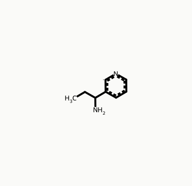 CCC(N)c1[c]nccc1